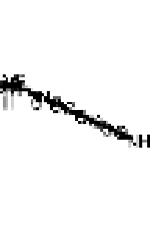 NCCOCCOCCOCCOCCOCCOCCNC(=O)CCCCC1SCC2NC(=O)N[C@@H]21